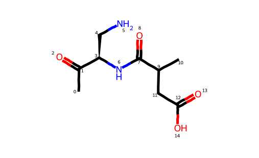 CC(=O)[C@@H](CN)NC(=O)C(C)CC(=O)O